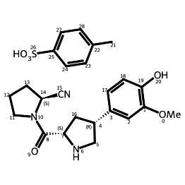 COc1cc([C@@H]2CN[C@H](C(=O)N3CCC[C@H]3C#N)C2)ccc1O.Cc1ccc(S(=O)(=O)O)cc1